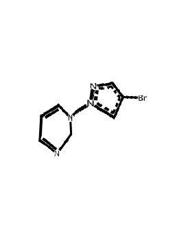 Brc1cnn(N2C=CC=NC2)c1